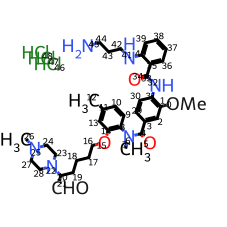 COc1cc(C(=O)N(C)c2ccc(C)cc2OCCCCC(C=O)N2CCN(C)CC2)ccc1NC(=O)c1ccccc1NCCCN.Cl.Cl.Cl